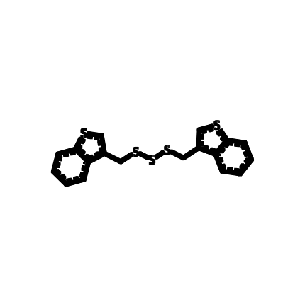 c1ccc2c(CSSSCc3csc4ccccc34)csc2c1